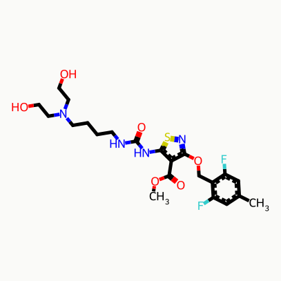 COC(=O)c1c(OCc2c(F)cc(C)cc2F)nsc1NC(=O)NCCCCN(CCO)CCO